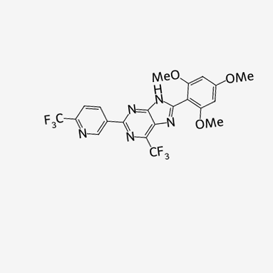 COc1cc(OC)c(-c2nc3c(C(F)(F)F)nc(-c4ccc(C(F)(F)F)nc4)nc3[nH]2)c(OC)c1